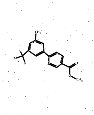 COC(=O)c1ccc(-c2cc(C)cc(C(F)(F)F)c2)cc1